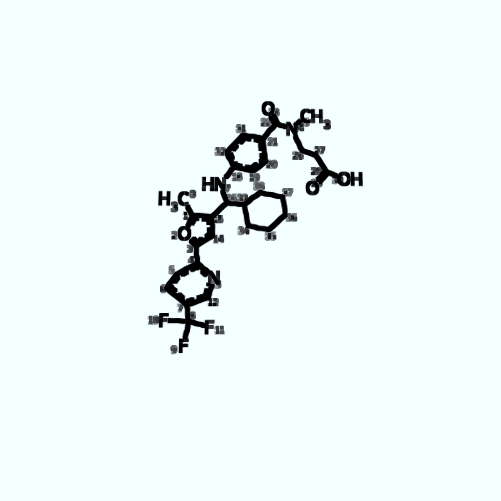 Cc1oc(-c2ccc(C(F)(F)F)cn2)cc1C(Nc1ccc(C(=O)N(C)CCC(=O)O)cc1)C1CCCCC1